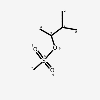 CC(C)C(C)OS(C)(=O)=O